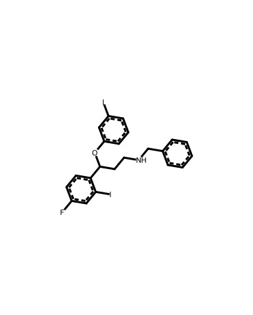 Fc1ccc(C(CCNCc2ccccc2)Oc2cccc(I)c2)c(I)c1